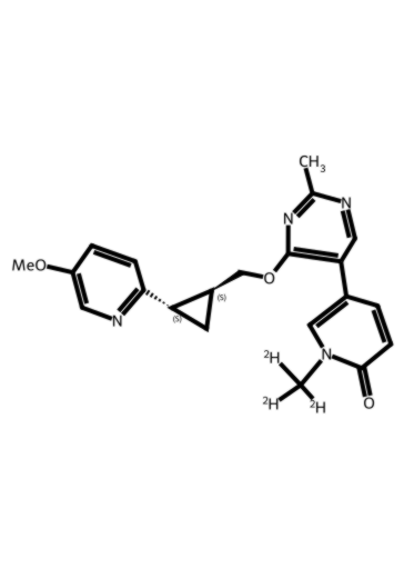 [2H]C([2H])([2H])n1cc(-c2cnc(C)nc2OC[C@H]2C[C@@H]2c2ccc(OC)cn2)ccc1=O